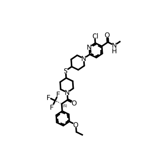 CCOc1cccc([C@@H](C(=O)N2CCC(SC3CCN(c4ccc(C(=O)NC)c(Cl)n4)CC3)CC2)C(F)(F)F)c1